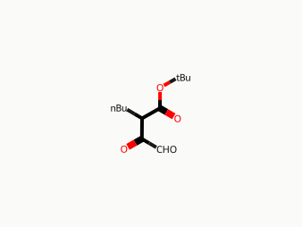 CCCCC(C(=O)C=O)C(=O)OC(C)(C)C